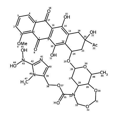 COc1cccc2c1C(=O)c1c(O)c3c(c(O)c1C2=O)CC(O)(C(C)=O)CC3OC1CC2C(OCOCN2C(=O)OCc2cnc(N(O)O)n2C)C(C)O1